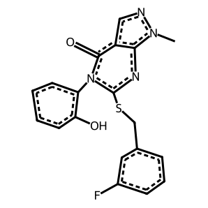 Cn1ncc2c(=O)n(-c3ccccc3O)c(SCc3cccc(F)c3)nc21